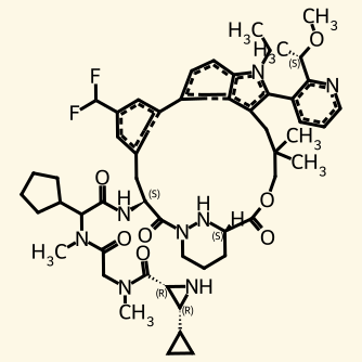 CCn1c(-c2cccnc2[C@H](C)OC)c2c3cc(ccc31)-c1cc(cc(C(F)F)c1)C[C@H](NC(=O)C(C1CCCC1)N(C)C(=O)CN(C)C(=O)[C@@H]1N[C@@H]1C1CC1)C(=O)N1CCC[C@H](N1)C(=O)OCC(C)(C)C2